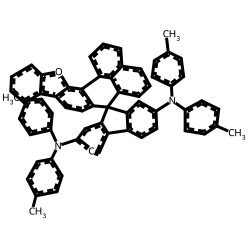 Cc1ccc(N(c2ccc(C)cc2)c2ccc3c(c2)C2(c4cc(N(c5ccc(C)cc5)c5ccc(C)cc5)ccc4-3)c3ccc4c(oc5ccccc54)c3-c3cccc4cccc2c34)cc1